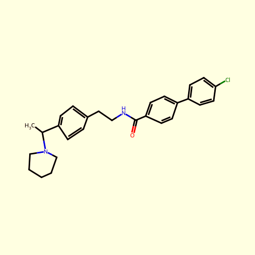 CC(c1ccc(CCNC(=O)c2ccc(-c3ccc(Cl)cc3)cc2)cc1)N1CCCCC1